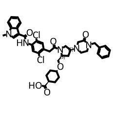 Cn1cc(C(=O)Nc2cc(Cl)c(CC(=O)N3C[C@@H](N4CCN(Cc5ccccc5)C(=O)C4)C[C@H]3CO[C@H]3CC[C@H](C(=O)O)CC3)cc2Cl)c2ccccc21